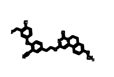 COc1ccc2c(c1)CCn1c-2cc(OCCc2ccc(Oc3ccc(Cl)c(CF)c3)c(C#N)c2)nc1=O